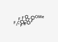 COc1ccc(-c2c3ccccc3c(-c3c(F)c(F)c(C(F)(F)F)c(F)c3F)c3c(F)ccc(F)c23)cc1